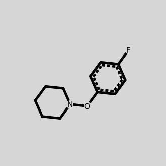 Fc1ccc(ON2CCCCC2)cc1